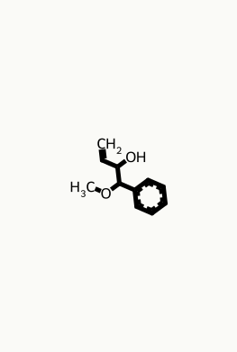 C=CC(O)C(OC)c1ccccc1